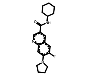 O=C(NC1CCCCC1)c1cnc2cc(N3CCCC3)c(F)cc2c1